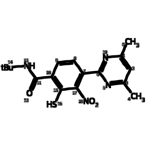 Cc1cc(C)nc(-c2ccc(C(=O)NC(C)(C)C)c(S)c2[N+](=O)[O-])n1